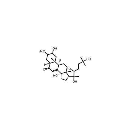 CC(=O)O[C@@H]1C[C@H]2C(=O)C=C3[C@H](CC[C@]4(C)[C@@H]([C@@](C)(O)C(O)CCC(C)(C)O)CC[C@@]34O)[C@@]2(C)C[C@@H]1O